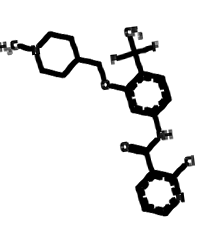 CN1CCC(COc2cc(NC(=O)c3cccnc3Cl)ccc2C(F)(F)C(F)(F)F)CC1